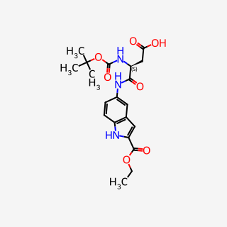 CCOC(=O)c1cc2cc(NC(=O)[C@H](CC(=O)O)NC(=O)OC(C)(C)C)ccc2[nH]1